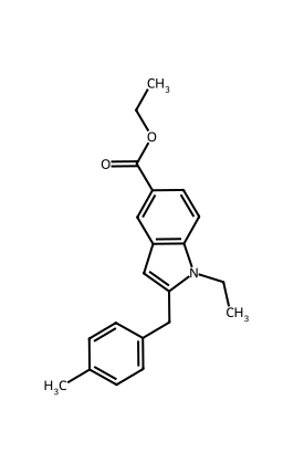 CCOC(=O)c1ccc2c(c1)cc(Cc1ccc(C)cc1)n2CC